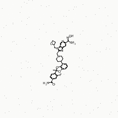 CC1(c2ccc(C(N)=O)cc2F)Oc2cccc(C3CCN(Cc4nc5cc(C(N)=NO)ncc5n4C[C@@H]4CCO4)CC3)c2O1